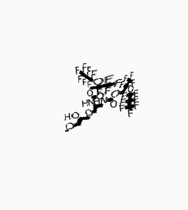 COCC(O)COCC(CNC(=O)OCC(F)(OC(F)(F)C(F)(F)C(F)(F)F)C(F)(F)F)NC(=O)OCC(F)(OC(F)(F)C(F)(F)C(F)(F)F)C(F)(F)F